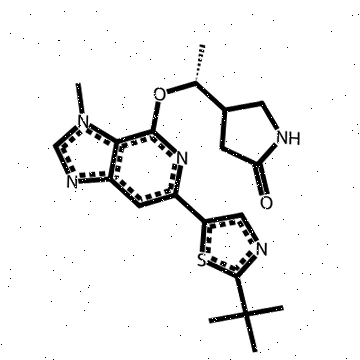 C[C@@H](Oc1nc(-c2cnc(C(C)(C)C)s2)cc2ncn(C)c12)C1CNC(=O)C1